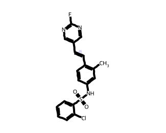 Cc1cc(NS(=O)(=O)c2ccccc2Cl)ccc1/C=C/c1cnc(F)nc1